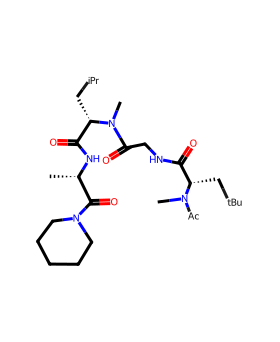 CC(=O)N(C)[C@@H](CC(C)(C)C)C(=O)NCC(=O)N(C)[C@@H](CC(C)C)C(=O)N[C@@H](C)C(=O)N1CCCCC1